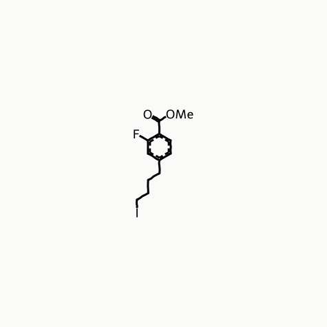 COC(=O)c1ccc(CCCCI)cc1F